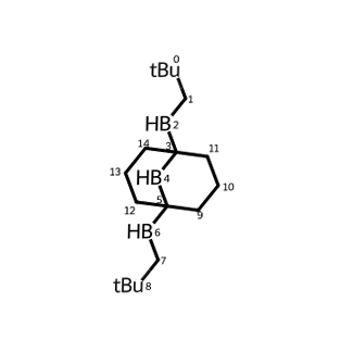 CC(C)(C)CBC12BC(BCC(C)(C)C)(CCC1)CCC2